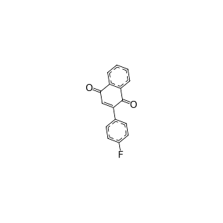 O=C1C=C(c2ccc(F)cc2)C(=O)c2ccccc21